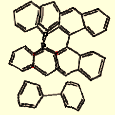 c1ccc(-c2ccccc2)cc1.c1ccc(P(c2ccccc2)c2ccc3ccccc3c2-c2c(P(c3ccccc3)c3ccccc3)ccc3ccccc23)cc1